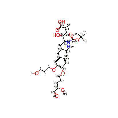 COCCCOc1cc(CC(CC(NC(=O)OC(C)(C)C)C(O)CC(C)C(=O)O)C(C)C)ccc1OCCCC(C=O)OC